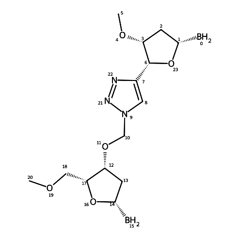 B[C@H]1C[C@@H](OC)[C@@H](c2cn(CO[C@@H]3C[C@H](B)O[C@@H]3COC)nn2)O1